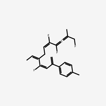 C=C(/C=C(F)\C(=C/C)C/C=C(/F)C(F)=C=C(C)CF)c1ccc(C)cc1